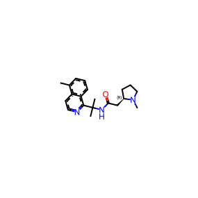 Cc1cccc2c(C(C)(C)NC(=O)C[C@H]3CCCN3C)nccc12